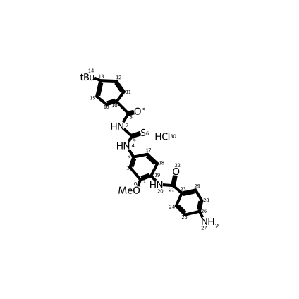 COc1cc(NC(=S)NC(=O)c2ccc(C(C)(C)C)cc2)ccc1NC(=O)c1ccc(N)cc1.Cl